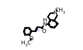 COc1ccccc1/C=C/C(=O)Nc1cccc2c1CCN(C)C2